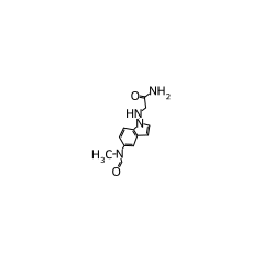 CN(C=O)c1ccc2c(ccn2NCC(N)=O)c1